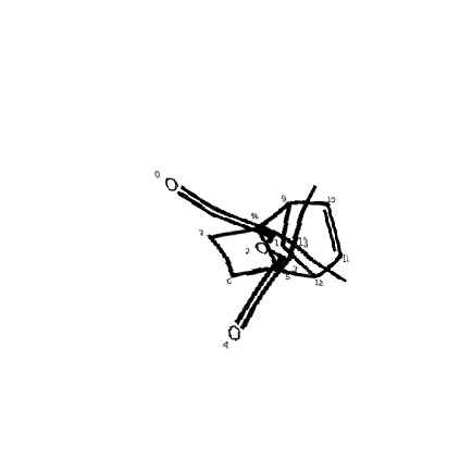 O=C1OC(=O)C23CCC12C1C=CC3C1